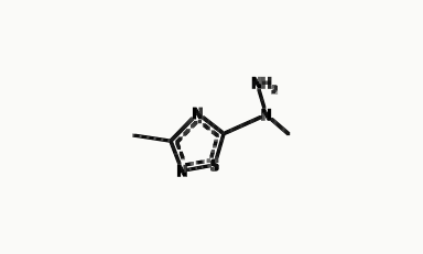 Cc1nsc(N(C)N)n1